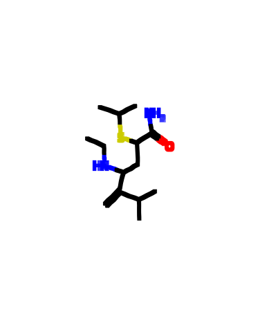 C=C(C(C)C)C(CC(SC(C)C)C(N)=O)NCC